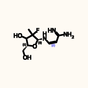 CC1(F)C(O)[C@@H](CO)O[C@H]1N/C=C\C(=N)N